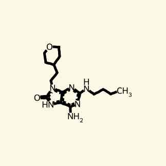 CCCCNc1nc(N)c2[nH]c(=O)n(CCC3CCOCC3)c2n1